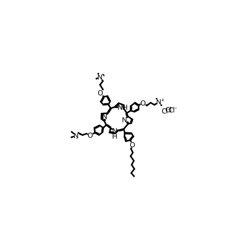 CCCCCCCCOc1ccc(-c2c3nc(c(-c4ccc(OCCC[N+](C)(C)C)cc4)c4ccc([nH]4)c(-c4ccc(OCCC[N+](C)(C)C)cc4)c4nc(c(-c5ccc(OCCC[N+](C)(C)C)cc5)c5ccc2[nH]5)C=C4)C=C3)cc1.[Cl-].[Cl-].[Cl-]